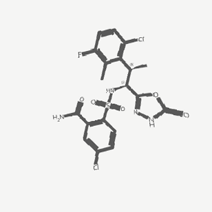 Cc1c(F)ccc(Cl)c1[C@@H](C)[C@H](NS(=O)(=O)c1ccc(Cl)cc1C(N)=O)c1n[nH]c(=O)o1